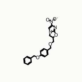 O=[N+]([O-])c1cn2c(n1)OC(COCc1ccc(OCc3ccccc3)cc1)C2